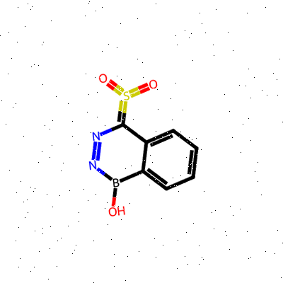 O=S(=O)=C1N=NB(O)c2ccccc21